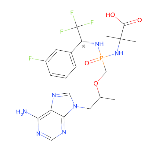 CC(Cn1cnc2c(N)ncnc21)OCP(=O)(N[C@H](c1cccc(F)c1)C(F)(F)F)NC(C)(C)C(=O)O